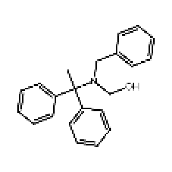 CC(c1ccccc1)(c1ccccc1)N(CO)Cc1ccccc1